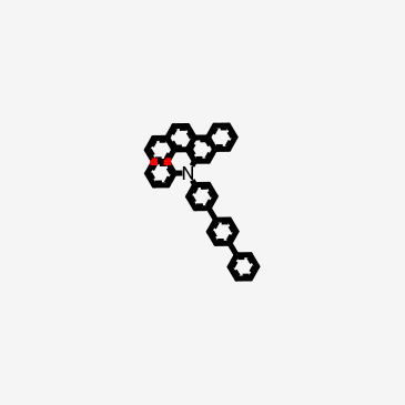 c1ccc(-c2ccc(-c3ccc(N(c4ccccc4)c4cc5ccccc5c5ccc6ccccc6c45)cc3)cc2)cc1